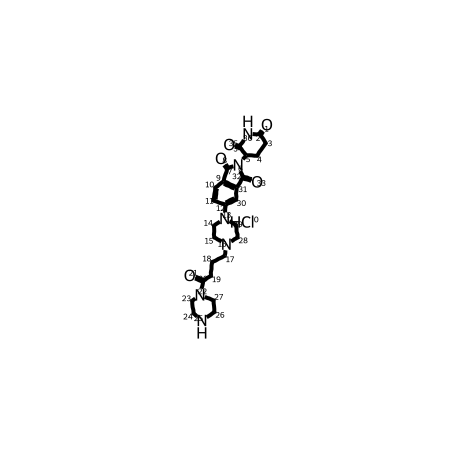 Cl.O=C1CCC(N2C(=O)c3ccc(N4CCN(CCCC(=O)N5CCNCC5)CC4)cc3C2=O)C(=O)N1